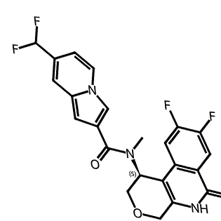 CN(C(=O)c1cc2cc(C(F)F)ccn2c1)[C@@H]1COCc2[nH]c(=O)c3cc(F)c(F)cc3c21